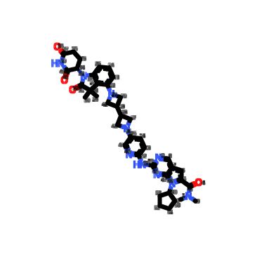 CN(C)C(=O)c1cc2cnc(Nc3ccc(N4CC(C5CN(c6cccc7c6C(C)(C)C(=O)N7[C@@H]6CCC(=O)NC6=O)C5)C4)cn3)nc2n1C1CCCC1